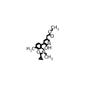 CCOC(=O)Cc1cnc(O)c(-c2ccc(C)cc2CN(CC)C(=O)C2CC2)c1